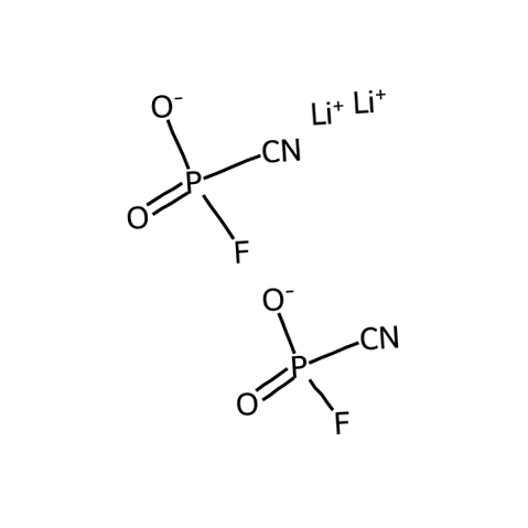 N#CP(=O)([O-])F.N#CP(=O)([O-])F.[Li+].[Li+]